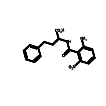 Nc1cccc([N+](=O)[O-])c1C(=O)NC(CCc1ccccc1)C(=O)O